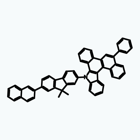 CC1(C)c2cc(-c3ccc4ccccc4c3)ccc2-c2ccc(-n3c4ccccc4c4c5c6ccccc6c(-c6ccccc6)cc5c5ccccc5c43)cc21